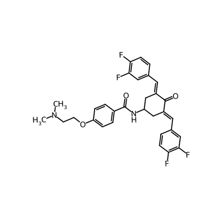 CN(C)CCOc1ccc(C(=O)NC2C/C(=C\c3ccc(F)c(F)c3)C(=O)/C(=C/c3ccc(F)c(F)c3)C2)cc1